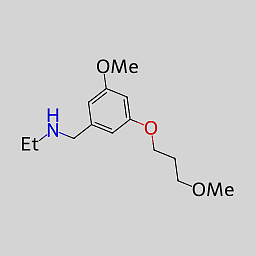 CCNCc1cc(OC)cc(OCCCOC)c1